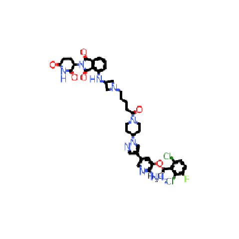 CC(Oc1cc(-c2cnn(C3CCN(C(=O)CCCCN4CC(Nc5cccc6c5C(=O)N(C5CCC(=O)NC5=O)C6=O)C4)CC3)c2)cnc1N)c1c(Cl)ccc(F)c1Cl